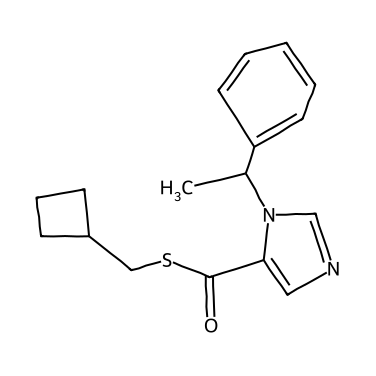 CC(c1ccccc1)n1cncc1C(=O)SCC1CCC1